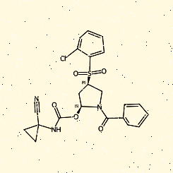 N#CC1(NC(=O)O[C@H]2C[C@@H](S(=O)(=O)c3ccccc3Cl)CN2C(=O)c2ccccc2)CC1